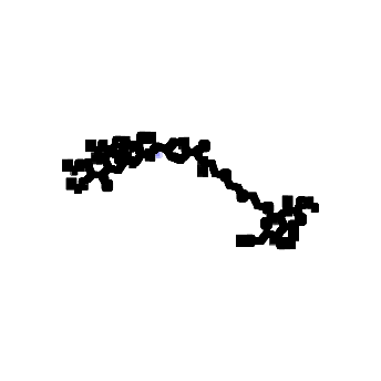 CSC(C)C(=O)C(Cc1ccc(O)c(/N=C/c2ccc(C(=O)NCCOCCOCCO[C@@H]3OC(CO)[C@H](O)C(O)C3NC(C)=O)nc2)c1)NC(C)(C)C